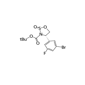 CC(C)(C)OC(=O)N1[C@@H](c2cc(F)cc(Br)c2)COS1=O